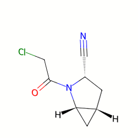 N#C[C@@H]1C[C@@H]2C[C@@H]2N1C(=O)CCl